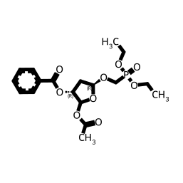 CCOP(=O)(CO[C@@H]1C[C@@H](OC(=O)c2ccccc2)C(OC(C)=O)O1)OCC